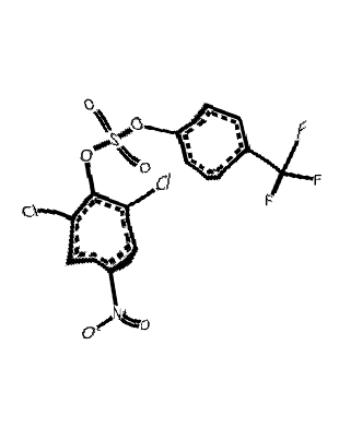 O=[N+]([O-])c1cc(Cl)c(OS(=O)(=O)Oc2ccc(C(F)(F)F)cc2)c(Cl)c1